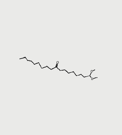 CCCCCCCCCC(=O)CCCCCCCC(OC)OC